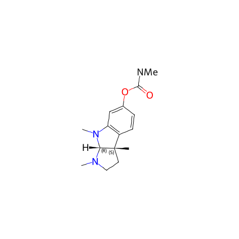 CNC(=O)Oc1ccc2c(c1)N(C)[C@H]1N(C)CC[C@@]21C